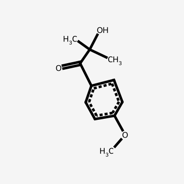 COc1ccc(C(=O)C(C)(C)O)cc1